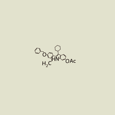 C=Cc1cc(OCc2ccccc2)ccc1-c1[nH]c2cc(OC(C)=O)ccc2c1C1CCCCC1